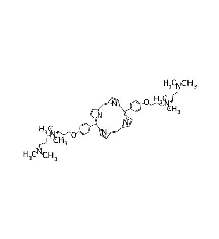 CN(C)CCC[N+](C)(C)CCCOc1ccc(C2=C3C=CC(=N3)C=C3C=CC(=N3)C(c3ccc(OCCC[N+](C)(C)CCCN(C)C)cc3)=C3C=CC(=N3)C=C3C=CC2=N3)cc1